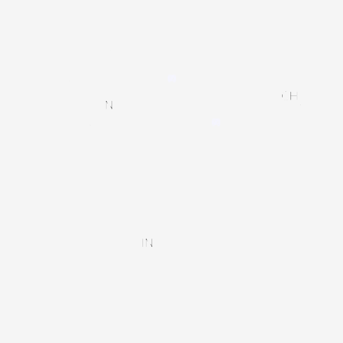 C=C/C=C\C=C/Cn1c2ccccc2c2cccc(-c3ccc4c(c3)Nc3ccccc3C=C4)c21